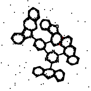 c1ccc2cc3c(cc2c1)c1ccccc1n3-c1ccc(-c2nc(-c3c4ccccc4cc4ccccc34)nc(-c3c4ccccc4cc4ccccc34)n2)c(-c2cccc3oc4ccccc4c23)c1